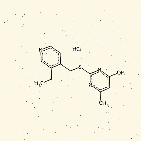 CCc1cnccc1CSc1nc(C)cc(O)n1.Cl